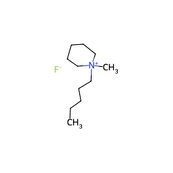 CCCCC[N+]1(C)CCCCC1.[F-]